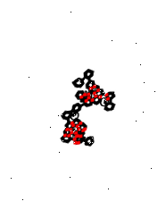 C1=CC2Oc3c(-c4ccc(N(c5ccc(-c6ccccc6-c6ccccc6)cc5)c5ccccc5-c5ccccc5-c5ccccc5-n5c6ccccc6c6c(-c7ccc8c(c7)oc7c(-c9ccc(N(c%10ccccc%10-c%10ccc(-c%11ccccc%11)cc%10)c%10ccccc%10-c%10ccccc%10-c%10ccccc%10-n%10c%11ccccc%11c%11ccccc%11%10)cc9)cccc78)cccc65)cc4)cccc3C2C=C1